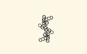 O=c1c(=Nc2cc3c(s2)-c2sc4c5c(sc4c2OC32CCCCC2)-c2sc(N=c3c(=O)c4cc6ccccc6cc4c3=O)cc2C2(CCCCC2)O5)c(=O)c2cc3ccccc3cc12